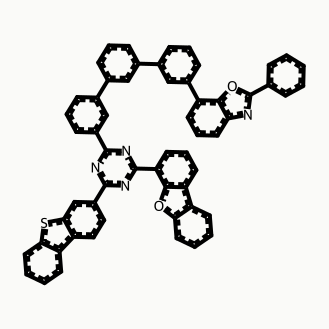 c1ccc(-c2nc3cccc(-c4cccc(-c5cccc(-c6cccc(-c7nc(-c8ccc9c(c8)sc8ccccc89)nc(-c8cccc9c8oc8ccccc89)n7)c6)c5)c4)c3o2)cc1